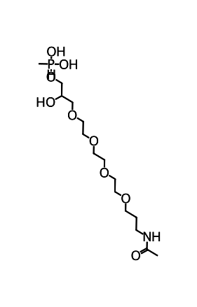 CC(=O)NCCCOCCOCCOCCOCC(O)CO[PH](C)(O)O